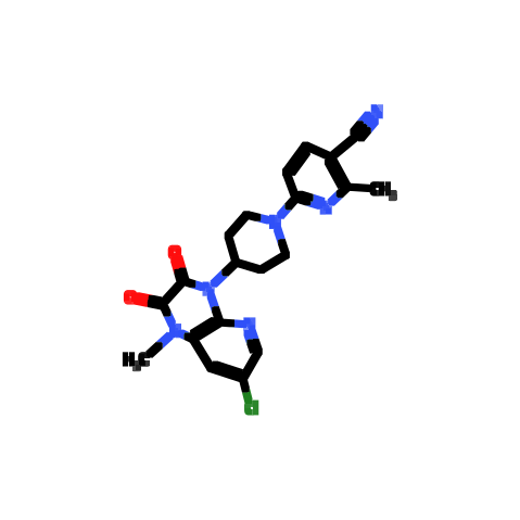 Cc1nc(N2CCC(n3c(=O)c(=O)n(C)c4cc(Cl)cnc43)CC2)ccc1C#N